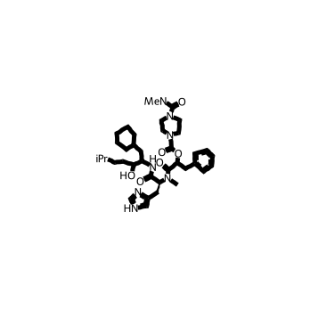 CNC(=O)N1CCN(C(=O)OC(Cc2ccccc2)C(=O)N(C)[C@@H](Cc2c[nH]cn2)C(=O)NC(CC2CCCCC2)C(O)CCC(C)C)CC1